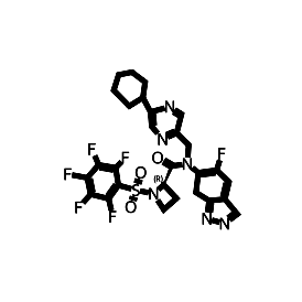 O=C([C@H]1CCN1S(=O)(=O)c1c(F)c(F)c(F)c(F)c1F)N(Cc1cnc(C2CCCCC2)cn1)C1=C(F)C=C2C=NN=C2C1